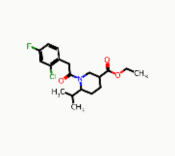 CCOC(=O)C1CCC(C(C)C)N(C(=O)Cc2ccc(F)cc2Cl)C1